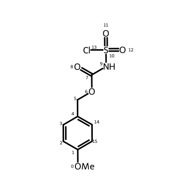 COc1ccc(COC(=O)NS(=O)(=O)Cl)cc1